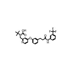 CC(C)(C)N(Cc1cc(Oc2cccc(CCC(=O)Nc3cccc(C(F)(F)F)c3)c2)ccn1)C(=O)O